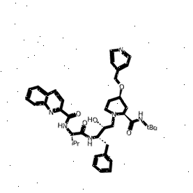 CC(C)[C@H](NC(=O)c1ccc2ccccc2n1)C(=O)N[C@@H](Cc1ccccc1)[C@H](O)CN1CC[C@@H](OCc2ccncc2)C[C@H]1C(=O)NC(C)(C)C